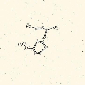 COc1ccccc1.O=C(O)C=CO